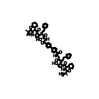 CN[C@@H](C)C(=O)N[C@H](C(=O)N1CC[C@H](O)C1N(CCc1ccccc1)C(=O)CNC(=O)c1ccc(-c2ccc(C(=O)NCC(=O)N(CCc3ccccc3)C3[C@@H](O)CCN3C(=O)[C@@H](NC(=O)[C@H](C)NC)C3CCCCC3)cc2)cc1)C1CCCCC1